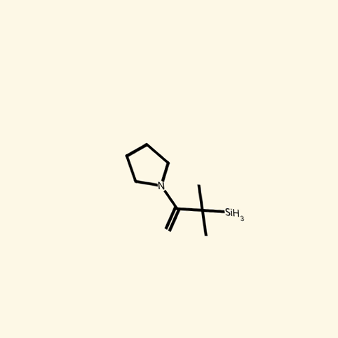 C=C(N1CCCC1)C(C)(C)[SiH3]